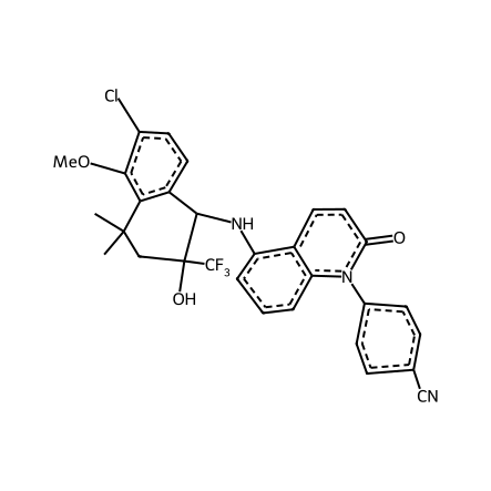 COc1c(Cl)ccc2c1C(C)(C)CC(O)(C(F)(F)F)C2Nc1cccc2c1ccc(=O)n2-c1ccc(C#N)cc1